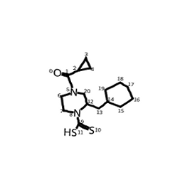 O=C(C1CC1)N1CCN(C(=S)S)C(CC2CCCCC2)C1